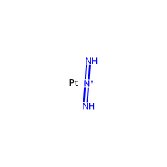 N=[N+]=N.[Pt]